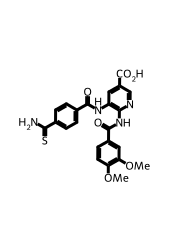 COc1ccc(C(=O)Nc2ncc(C(=O)O)cc2NC(=O)c2ccc(C(N)=S)cc2)cc1OC